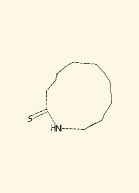 S=C1CCCCCCCCN1